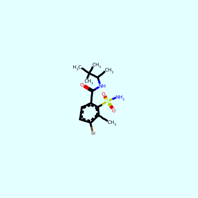 Cc1c(Br)ccc(C(=O)NC(C)C(C)(C)C)c1S(N)(=O)=O